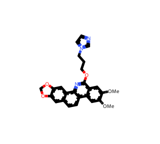 COc1cc2c(OCCCn3ccnc3)nc3c4cc5c(cc4ccc3c2cc1OC)OCO5